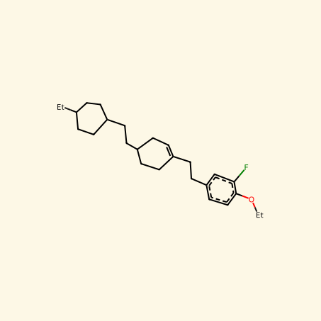 CCOc1ccc(CCC2=CCC(CCC3CCC(CC)CC3)CC2)cc1F